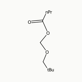 CCCC(=O)OCOCC(C)(C)C